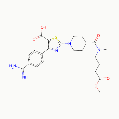 COC(=O)CCCN(C)C(=O)C1CCN(c2nc(-c3ccc(C(=N)N)cc3)c(C(=O)O)s2)CC1